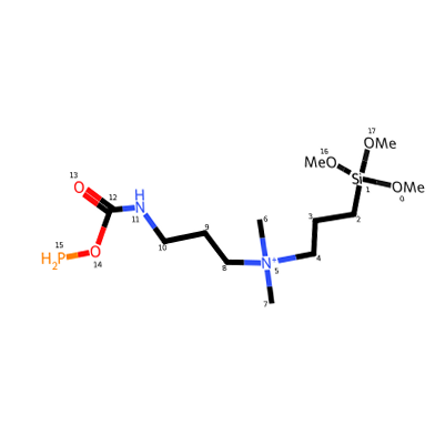 CO[Si](CCC[N+](C)(C)CCCNC(=O)OP)(OC)OC